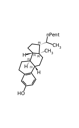 CCCCCC(C)[C@H]1CC[C@H]2[C@@H]3CCc4cc(O)ccc4[C@H]3CC[C@]12C